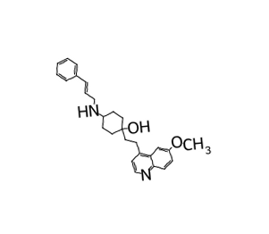 COc1ccc2nccc(CCC3(O)CCC(NC/C=C/c4ccccc4)CC3)c2c1